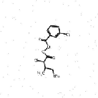 CC(CC(C)(C)C)C(Cl)C(=O)OOC(=O)c1cccc(Cl)c1